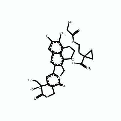 C=C(N[C@H]1CCc2c(C)c(F)cc3nc4c(c1c23)Cn1c-4cc2c(c1=O)COC(=O)[C@]2(O)CC)C1(OCNC(=O)CN)CC1